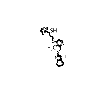 Cc1c(SCCC(S)c2ncc[nH]2)ccnc1CSc1nc2ccccc2[nH]1